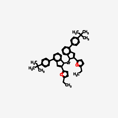 CCc1ccc(C2=Cc3c(-c4ccc(C(C)(C)C)cc4)cccc3[CH]2[Zr][CH]2C(c3ccc(CC)o3)=Cc3c(-c4ccc(C(C)(C)C)cc4)cccc32)o1